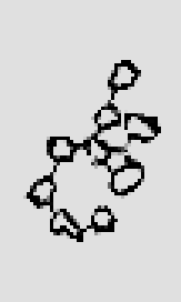 c1ccc(-c2ccc(-c3nc(-c4cccc(-c5cccc(-c6cccc(-c7ccccc7)c6)c5)c4)nc4c5ccccc5n(-c5ccccc5)c34)cc2)cc1